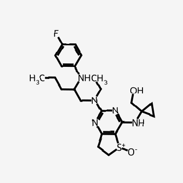 CCCC(CN(CC)c1nc2c(c(NC3(CO)CC3)n1)[S+]([O-])CC2)Nc1ccc(F)cc1